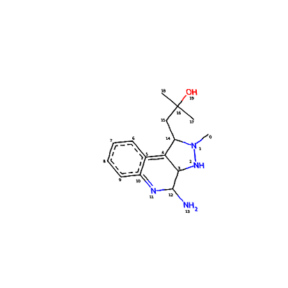 CN1NC2C(=c3ccccc3=NC2N)C1CC(C)(C)O